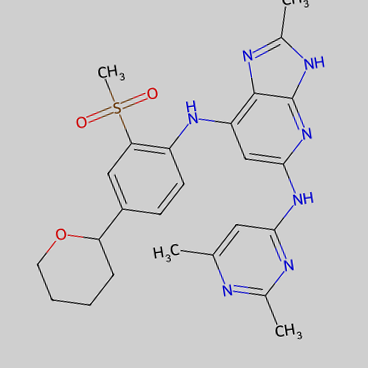 Cc1cc(Nc2cc(Nc3ccc(C4CCCCO4)cc3S(C)(=O)=O)c3nc(C)[nH]c3n2)nc(C)n1